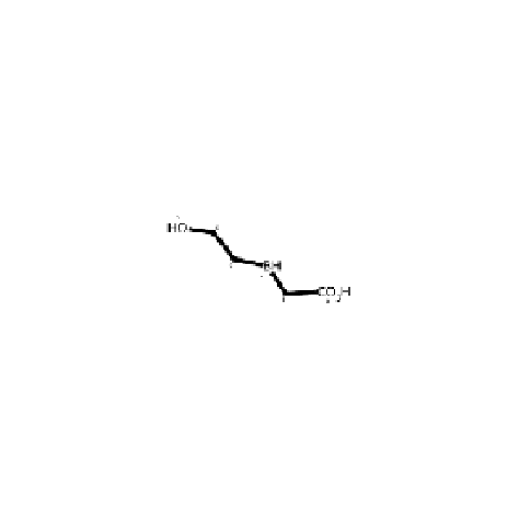 O=C(O)CBCCO